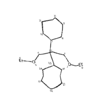 CCOCC(COCC)(C1CCCCC1)C1CCCCC1